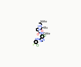 CN[C@@H](C)CN[C@H](C(=O)N1CCC[C@H]1C(=O)Nc1cc2c(Nc3ccc(F)c(Cl)c3)ncnc2cc1OC)C(C)(C)C.Cl